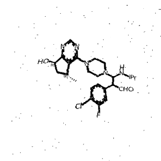 CC(C)NC(C(C=O)c1ccc(Cl)c(F)c1)N1CCN(c2ncnc3c2[C@H](C)C[C@H]3O)CC1